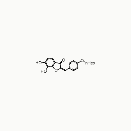 CCCCCCOc1ccc(/C=C2/Oc3c(ccc(O)c3O)C2=O)cc1